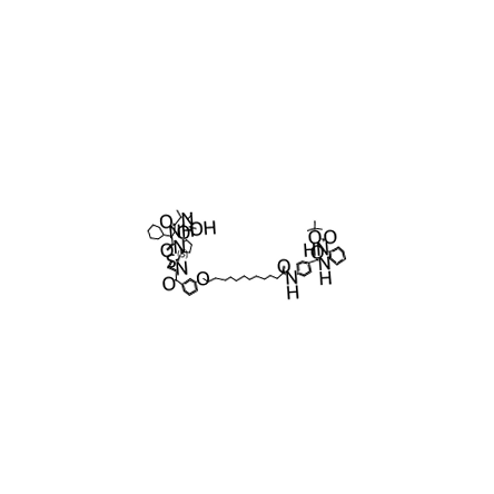 CC(C(=O)NC(C(=O)N1CCC[C@H]1c1nc(C(=O)c2cccc(OCCCCCCCCCCCC(=O)Nc3ccc(C(=O)Nc4ccccc4NC(=O)OC(C)(C)C)cc3)c2)cs1)C1CCCCC1)N(C)C(=O)O